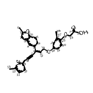 Cc1cc2cc(/C(C#Cc3ccc(C)s3)=C\COc3ccc(OCC(=O)O)c(C)c3)ccc2o1